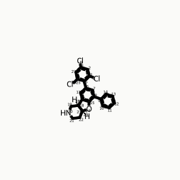 Clc1cc(Cl)c(-c2cc(-c3ccccc3)c3c(c2)[C@@H]2CNCC[C@@H]2O3)c(Cl)c1